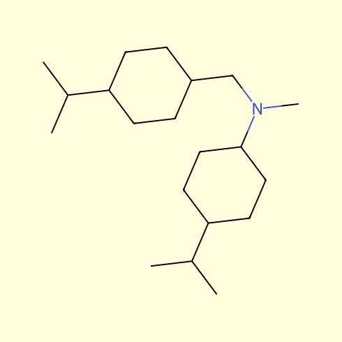 CC(C)C1CCC(CN(C)C2CCC(C(C)C)CC2)CC1